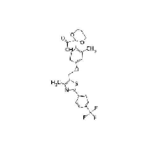 Cc1cc(OCc2sc(-c3ccc(C(F)(F)F)cc3)nc2C)ccc1C1(C(=O)O)OCCCO1